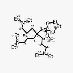 CCO[Si](CC(CCCN(CC)CC)(CCCN(CC)CC)CCCN(CC)CC)(OCC)OCC